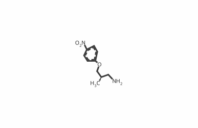 C[C@H](CN)COc1ccc([N+](=O)[O-])cc1